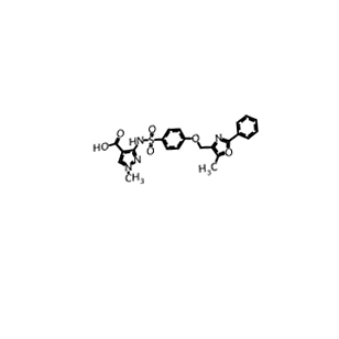 Cc1oc(-c2ccccc2)nc1COc1ccc(S(=O)(=O)Nc2nn(C)cc2C(=O)O)cc1